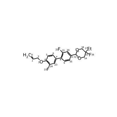 C=CCOc1ccc(-c2ccc(C3OCC(F)(CC)CO3)cc2F)cc1F